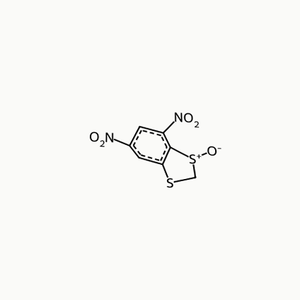 O=[N+]([O-])c1cc2c(c([N+](=O)[O-])c1)[S+]([O-])CS2